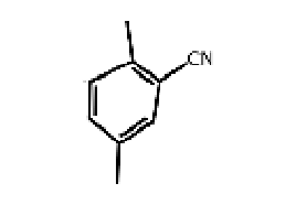 Cc1c[c]c(C)c(C#N)c1